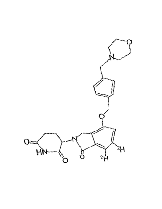 [2H]c1cc(OCc2ccc(CN3CCOCC3)cc2)c2c(c1[2H])C(=O)N(C1CCC(=O)NC1=O)C2